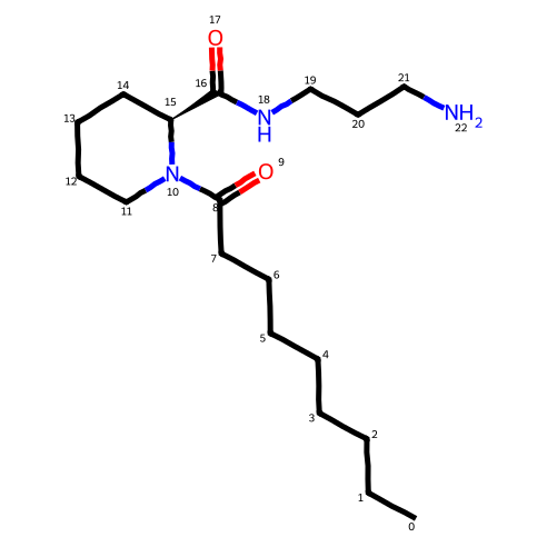 CCCCCCCCC(=O)N1CCCC[C@H]1C(=O)NCCCN